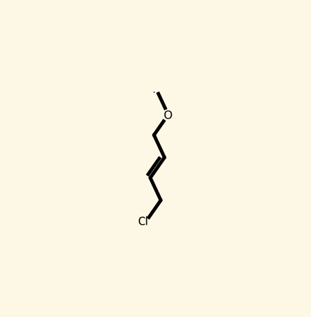 [CH2]OCC=CCCl